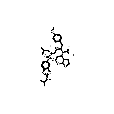 COc1ccc(CC([C@H](O)CN(CC(C)C)S(=O)(=O)c2ccc3nc(NC(C)C)oc3c2)N(C(=O)O)C2CCOC3OCCC32)cc1